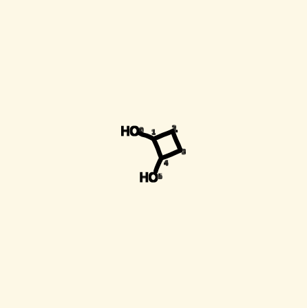 OC1[CH]CC1O